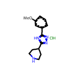 COc1cccc(-c2nnc(C3CCNCC3)[nH]2)c1.Cl